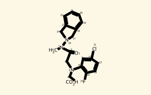 CN(C(=O)CN(CC(=O)O)c1cc(Cl)ccc1F)N1Cc2ccccc2C1